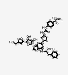 NS(=O)(=O)c1ccc(NC(=O)N[C@@H]2CCN(c3nc(N[C@H](CO)Cc4ccccc4)c4ncn([C@@H]5O[C@H](c6cc(CO)no6)[C@@H](O)[C@H]5O)c4n3)C2)cc1